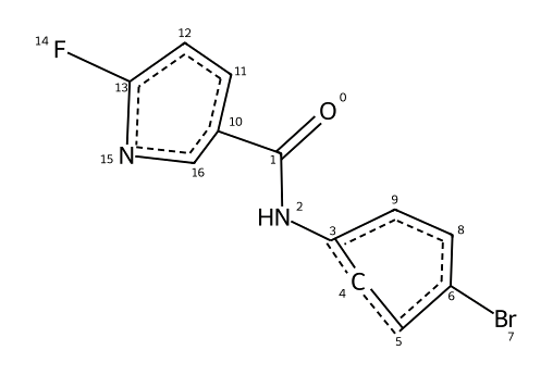 O=C(Nc1ccc(Br)cc1)c1ccc(F)nc1